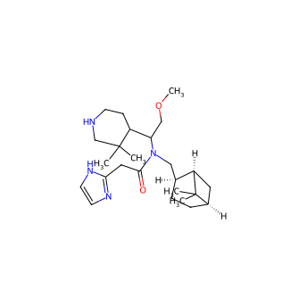 COCC(C1CCNCC1(C)C)N(C[C@@H]1CC[C@@H]2C[C@H]1C2(C)C)C(=O)Cc1ncc[nH]1